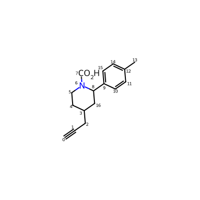 C#CCC1CCN(C(=O)O)C(c2ccc(C)cc2)C1